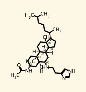 CC(=O)N[C@H]1CC[C@]2(C)[C@H]3CC[C@]4(C)[C@@H](C(C)CCCC(C)C)CC[C@H]4[C@@H]3C[C@@H](NCCc3c[nH]cn3)[C@@]2(O)C1